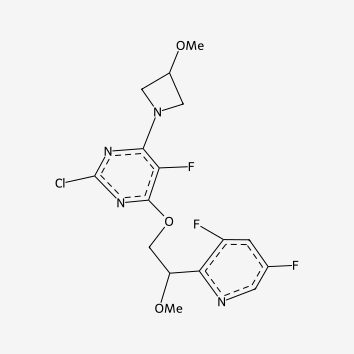 COC1CN(c2nc(Cl)nc(OCC(OC)c3ncc(F)cc3F)c2F)C1